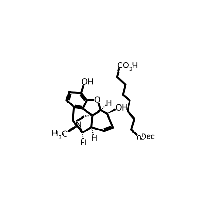 CCCCCCCCCCCCCCCCCC(=O)O.CN1CC[C@]23c4c5ccc(O)c4O[C@H]2[C@@H](O)C=C[C@H]3[C@H]1C5